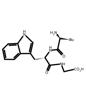 CC[C@H](C)[C@H](N)C(=O)N[C@@H](Cc1c[nH]c2ccccc12)C(=O)NCC(=O)O